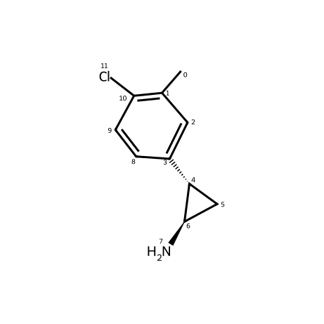 Cc1cc([C@@H]2C[C@H]2N)ccc1Cl